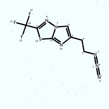 [N-]=[N+]=NCCc1cn2nc(C(F)(F)F)sc2n1